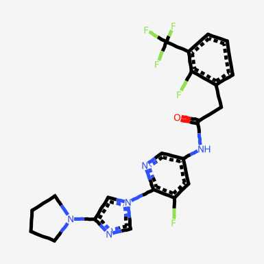 O=C(Cc1cccc(C(F)(F)F)c1F)Nc1cnc(-n2cnc(N3CCCC3)c2)c(F)c1